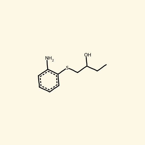 CCC(O)CSc1ccccc1N